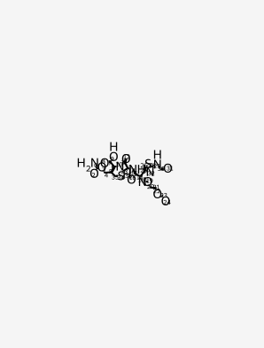 NC(=O)OCC1=C(C(=O)O)N2C(=O)C(NC(=O)/C(=N/OCCOC=O)c3csc(NC=O)n3)[C@H]2SC1